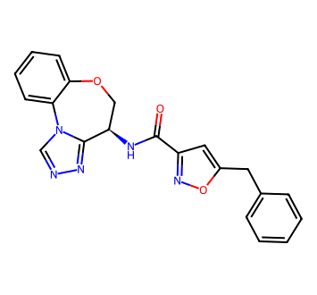 O=C(N[C@@H]1COc2ccccc2-n2cnnc21)c1cc(Cc2ccccc2)on1